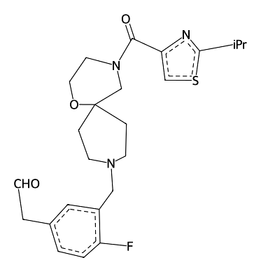 CC(C)c1nc(C(=O)N2CCOC3(CCN(Cc4cc(CC=O)ccc4F)CC3)C2)cs1